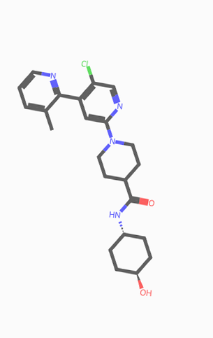 Cc1cccnc1-c1cc(N2CCC(C(=O)N[C@H]3CC[C@H](O)CC3)CC2)ncc1Cl